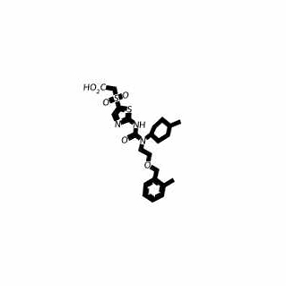 Cc1ccccc1COCCN(C(=O)Nc1ncc(S(=O)(=O)CC(=O)O)s1)C1CCC(C)CC1